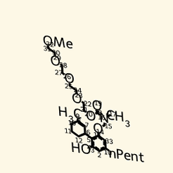 CCCCCc1cc(O)c(C2C=C(C)CCC2)c(OCN(C)C(=O)OCCOCCOCCOCCOC)c1